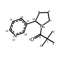 CC(C)(C)C(=O)N1CCCC1c1cccnc1